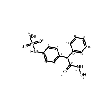 CCCCS(=O)(=O)Nc1ccc(C(C(=O)NO)c2ccccc2)cc1